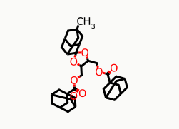 CC12CC3CC(C1)C1(OC(COC(=O)C45CC6CC(CC(C6)C4)C5)C(COC(=O)C45CC6CC(C4)C(=O)C(C6)C5)O1)C(C3)C2